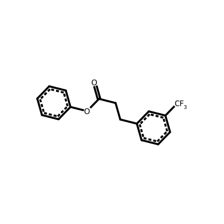 O=C(CCc1cccc(C(F)(F)F)c1)Oc1ccccc1